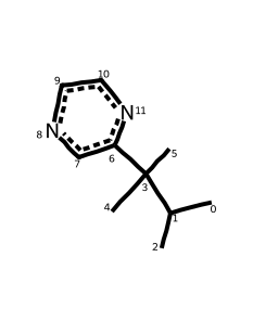 CC(C)C(C)(C)c1cnccn1